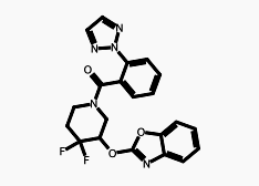 O=C(c1ccccc1-n1nccn1)N1CCC(F)(F)C(Oc2nc3ccccc3o2)C1